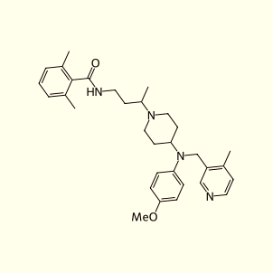 COc1ccc(N(Cc2cnccc2C)C2CCN(C(C)CCNC(=O)c3c(C)cccc3C)CC2)cc1